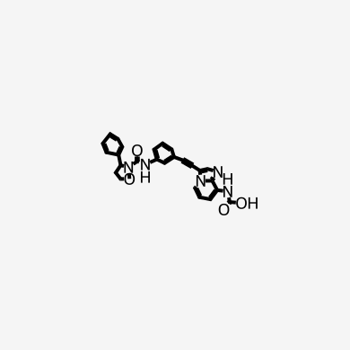 O=C(O)Nc1cccn2c(C#Cc3cccc(NC(=O)N4OCCC4c4ccccc4)c3)cnc12